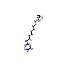 CC(=O)CCCCCCCCCc1cccnn1